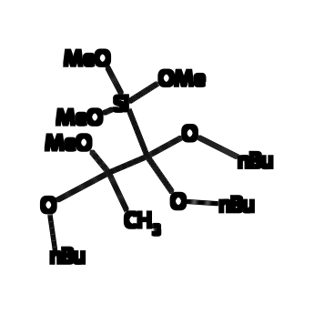 CCCCOC(C)(OC)C(OCCCC)(OCCCC)[Si](OC)(OC)OC